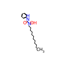 CCCCCCCCCCCCN(O)C(=O)Nc1ccccc1